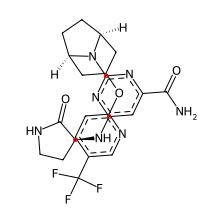 NC(=O)c1cc(N[C@H]2CCNC2=O)nc(N2[C@@H]3CC[C@H]2CC(Oc2ccc(C(F)(F)F)cn2)C3)n1